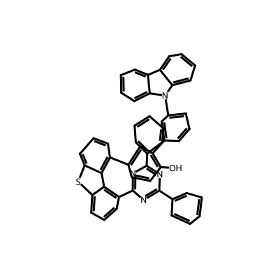 Oc1ccc(-c2cccc3sc4cccc(-c5nc(-c6ccccc6)nc(-c6ccccc6)n5)c4c23)cc1-c1cccc(-n2c3ccccc3c3ccccc32)c1